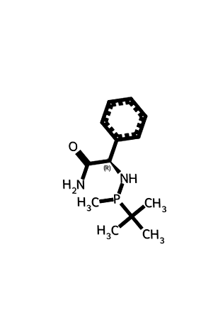 CP(N[C@@H](C(N)=O)c1ccccc1)C(C)(C)C